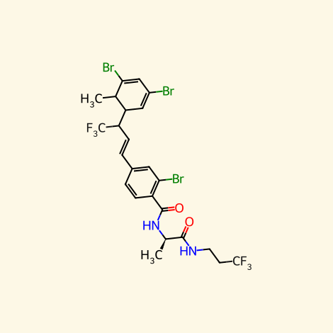 CC1C(Br)=CC(Br)=CC1C(/C=C/c1ccc(C(=O)N[C@H](C)C(=O)NCCC(F)(F)F)c(Br)c1)C(F)(F)F